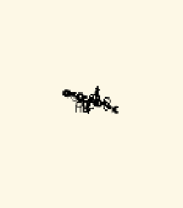 CCCCOc1cc(C(=O)OCCN(CC)CC)ccc1NC(=O)[C@@H](Cc1ccc(OCc2ccccc2)cc1)NC(=O)NC(C)(C)C